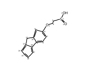 O=S(O)CCOc1ccc2c(c1)Cc1ccccc1-2